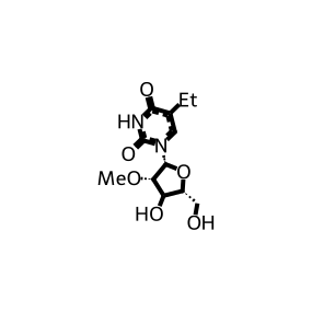 CCc1cn([C@@H]2O[C@H](CO)C(O)[C@@H]2OC)c(=O)[nH]c1=O